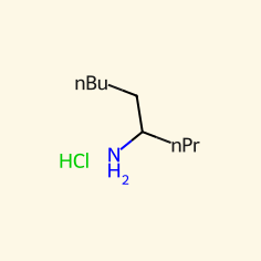 CCCCCC(N)CCC.Cl